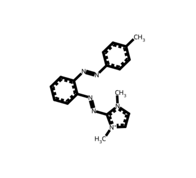 Cc1ccc(/N=N/c2ccccc2/N=N/c2n(C)cc[n+]2C)cc1